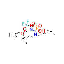 CCCCN(CCCC)C(N(CC(=O)OCC)C(=O)C(F)(F)F)P(=O)(O)O